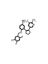 O=C(O)c1cc(C2=C(c3cc(Cl)ccc3OCc3cc(F)c(F)cc3F)CCC2)cnc1C(F)(F)F